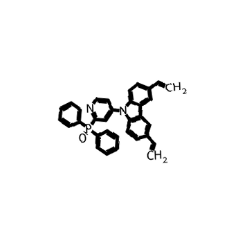 C=Cc1ccc2c(c1)c1cc(C=C)ccc1n2-c1ccnc(P(=O)(c2ccccc2)c2ccccc2)c1